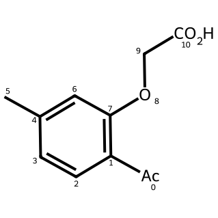 CC(=O)c1ccc(C)cc1OCC(=O)O